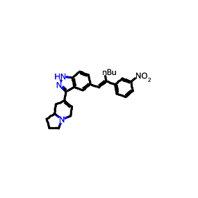 CCCC/C(=C\c1ccc2[nH]nc(C3=CCN4CCCC4C3)c2c1)c1cccc([N+](=O)[O-])c1